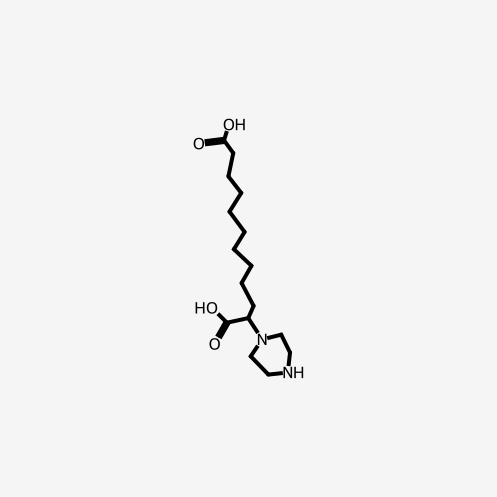 O=C(O)CCCCCCCCCC(C(=O)O)N1CCNCC1